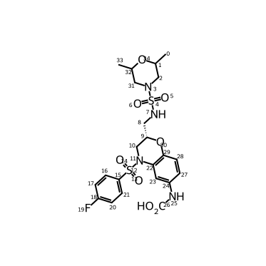 CC1CN(S(=O)(=O)NC[C@H]2CN(S(=O)(=O)c3ccc(F)cc3)c3cc(NC(=O)O)ccc3O2)CC(C)O1